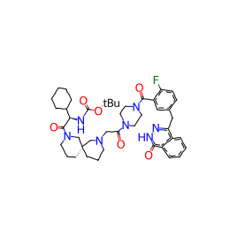 CC(C)(C)OC(=O)N[C@@H](C(=O)N1CCC[C@]2(CCCN(CC(=O)N3CCN(C(=O)c4cc(Cc5n[nH]c(=O)c6ccccc56)ccc4F)CC3)C2)C1)C1CCCCC1